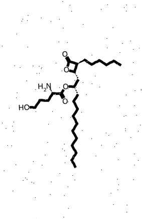 CCCCCCCCCCC[C@@H](C[C@@H]1OC(=O)[C@H]1CCCCCC)OC(=O)[C@@H](N)CCCO